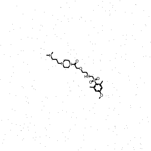 COc1cc(C)c(S(=O)(=O)CNCCOCC(=O)N2CCN(CCCN(C)C)CC2)c(C)c1